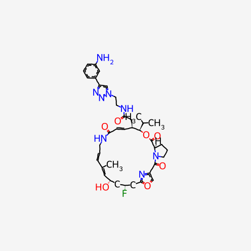 CC1=C\[C@@H](O)C[C@@H](F)Cc2nc(co2)C(=O)N2CCC[C@@H]2C(=O)O[C@H](C(C)C)[C@H](CC(=O)NCCn2cc(-c3cccc(N)c3)nn2)/C=C/C(=O)NC\C=C\1